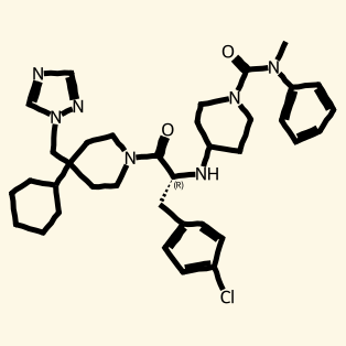 CN(C(=O)N1CCC(N[C@H](Cc2ccc(Cl)cc2)C(=O)N2CCC(Cn3cncn3)(C3CCCCC3)CC2)CC1)c1ccccc1